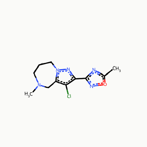 Cc1nc(-c2nn3c(c2Cl)CN(C)CCC3)no1